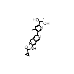 Cc1cc([C@@H](O)[C@H](C)O)ncc1-c1cc2cnc(NC(=O)C3CC3)cc2cn1